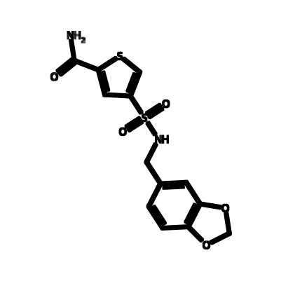 NC(=O)c1cc(S(=O)(=O)NCc2ccc3c(c2)OCO3)cs1